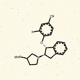 CNC1CCN([C@@H]2Cc3ccccc3[C@H]2Oc2ccc(C#N)cc2F)C1